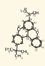 CC(C)(C)c1ccc2c(c1)B1c3ccccc3Oc3cc(B(O)O)cc(c31)O2